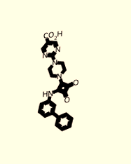 O=C(O)c1cnc(N2CCN(c3c(Nc4cccc(-c5ccccc5)c4)c(=O)c3=O)CC2)nc1